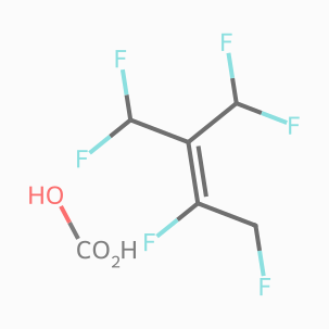 FCC(F)=C(C(F)F)C(F)F.O=C(O)O